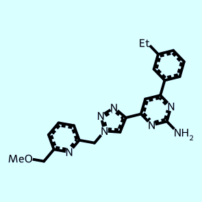 CCc1cccc(-c2cc(-c3cn(Cc4cccc(COC)n4)nn3)nc(N)n2)c1